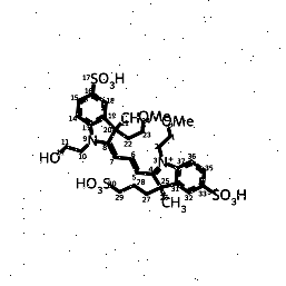 COCC[N+]1=C(/C=C/C=C2/N(CCO)c3ccc(S(=O)(=O)O)cc3C2(C)CCOC)C(C)(CCCS(=O)(=O)O)c2cc(S(=O)(=O)O)ccc21